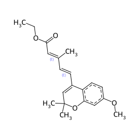 CCOC(=O)/C=C(C)/C=C/C1=CC(C)(C)Oc2cc(OC)ccc21